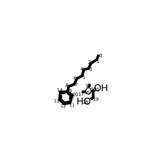 CCCCCCCCCc1ccccc1.COC.OCCO